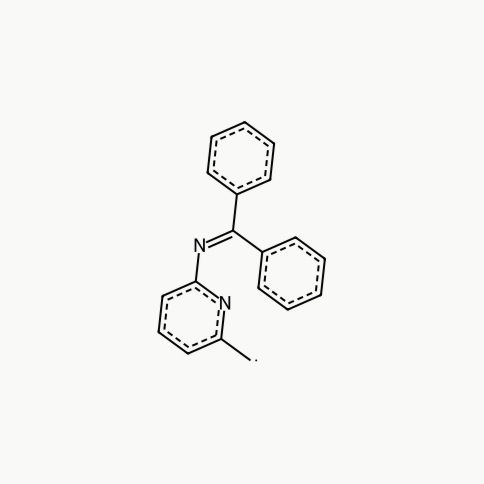 [CH2]c1cccc(N=C(c2ccccc2)c2ccccc2)n1